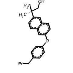 CC(C)Cc1ccc(Oc2ccc3cc([C@@](C)(N)CO)ccc3c2)cc1